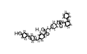 CN(CCN1CCC(OC(=O)Nc2ccccc2-c2ccccc2)CC1)C(=O)c1ccc(CN2CCN(c3ccc(O)cc3)CC2)cc1